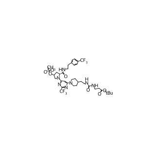 CC(C)(C)OC(=O)CCNC(=O)NCCC1CCN(c2cc(N3C[C@@H](OS(C)(=O)=O)C[C@H]3C(=O)NCCc3ccc(C(F)(F)F)cc3)nc(C(F)(F)F)n2)CC1